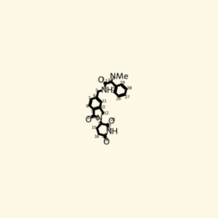 CN[C@H](C(=O)NCc1ccc2c(c1)CN(C1CCC(=O)NC1=O)C2=O)c1ccccc1